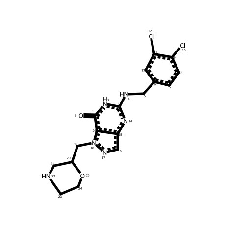 O=c1[nH]c(NCc2ccc(Cl)c(Cl)c2)nc2cnn(CC3CNCCO3)c12